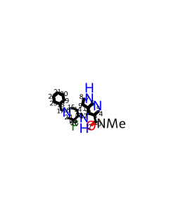 CNC(=O)c1cnc2[nH]ccc2c1N[C@@H]1CCN(Cc2ccccc2)C[C@H]1F